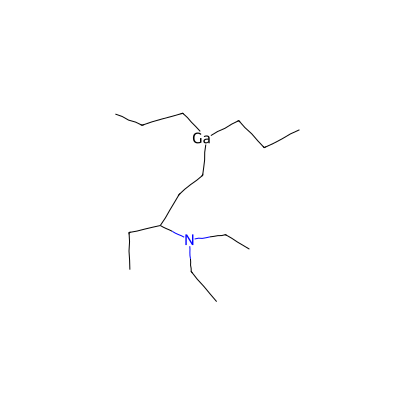 CC[CH2][Ga]([CH2]CC)[CH2]CC(CC)N(CC)CC